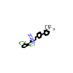 FC(F)(F)c1cccc(-c2ccc(/C=C/c3nc(-c4c(Cl)cccc4Cl)c[nH]3)cc2)c1